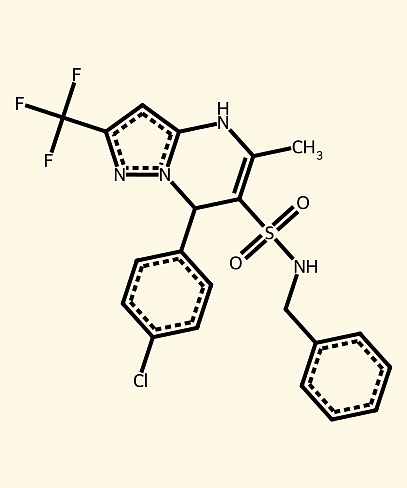 CC1=C(S(=O)(=O)NCc2ccccc2)C(c2ccc(Cl)cc2)n2nc(C(F)(F)F)cc2N1